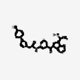 CC(C)n1cc(C(=O)c2cncc(NC(=O)Cc3ccn(-c4ccc(O)cc4)c3)c2)c2cncnc21